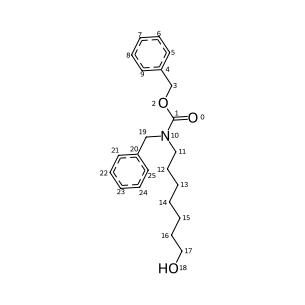 O=C(OCc1ccccc1)N(CCCCCCCO)Cc1ccccc1